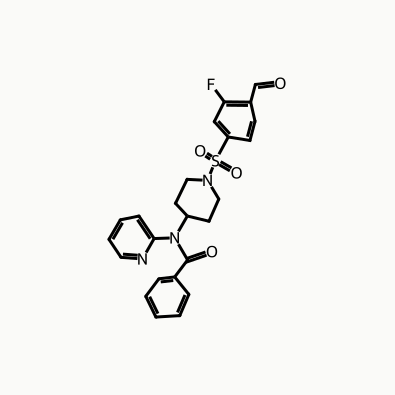 O=Cc1ccc(S(=O)(=O)N2CCC(N(C(=O)c3ccccc3)c3ccccn3)CC2)cc1F